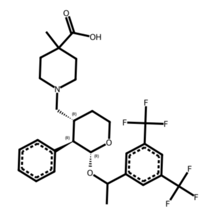 CC(O[C@H]1OCC[C@@H](CN2CCC(C)(C(=O)O)CC2)[C@@H]1c1ccccc1)c1cc(C(F)(F)F)cc(C(F)(F)F)c1